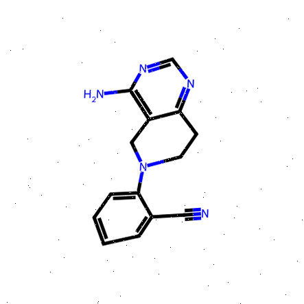 N#Cc1ccccc1N1CCc2ncnc(N)c2C1